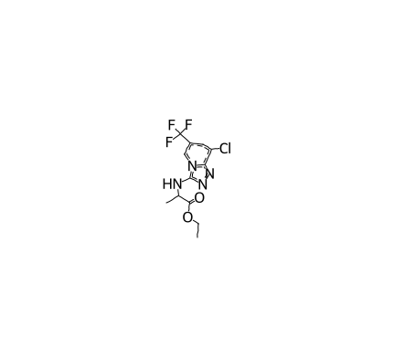 CCOC(=O)C(C)Nc1nnc2c(Cl)cc(C(F)(F)F)cn12